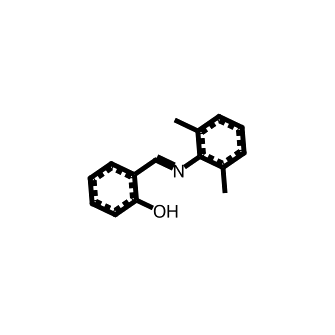 Cc1cccc(C)c1/N=C/c1ccccc1O